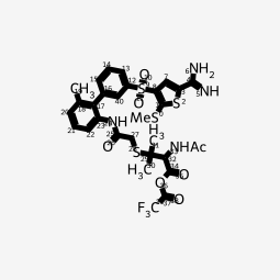 CSc1sc(C(=N)N)cc1S(=O)(=O)c1cccc(-c2c(C)cccc2NC(=O)CSC(C)(C)C(NC(C)=O)C(=O)OC(=O)C(F)(F)F)c1